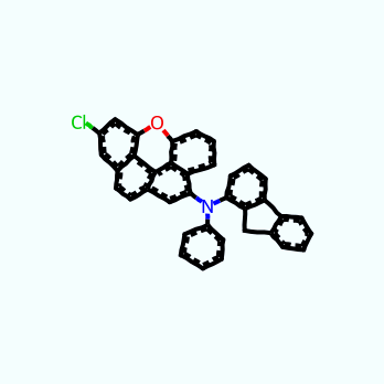 Clc1cc2c3c(ccc4cc(N(c5ccccc5)c5cccc6c5Cc5ccccc5-6)c5cccc(c5c43)O2)c1